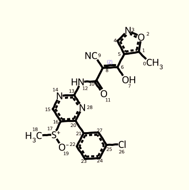 Cc1oncc1/C(O)=C(\C#N)C(=O)Nc1ncc([S+](C)[O-])c(-c2cccc(Cl)c2)n1